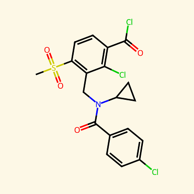 CS(=O)(=O)c1ccc(C(=O)Cl)c(Cl)c1CN(C(=O)c1ccc(Cl)cc1)C1CC1